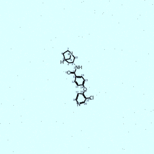 O=C(N[C@@H]1C[C@H]2CCN(C2)C1)c1ccc(Oc2ccncc2Cl)cc1